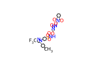 Cc1ccc(-c2cc(C(F)(F)F)nn2-c2ccc(S(=O)(=O)NC(=O)OC3CN(/[N+]([O-])=N/OCN4C(=O)c5ccccc5C4=O)C3)cc2)cc1